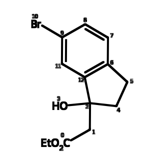 CCOC(=O)CC1(O)CCc2ccc(Br)cc21